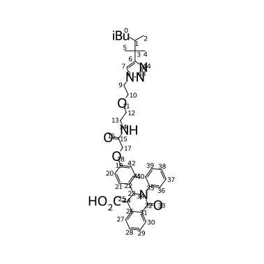 CCC(C)C(C)C(C)(C)c1cn(CCOCCNC(=O)COc2ccc(C3C(C(=O)O)c4ccccc4C(=O)N3c3ccccc3)cc2)nn1